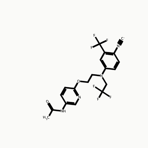 [C-]#[N+]c1ccc(N(CCOc2ccc(NC(C)=O)cn2)CC(F)(F)F)cc1C(F)(F)F